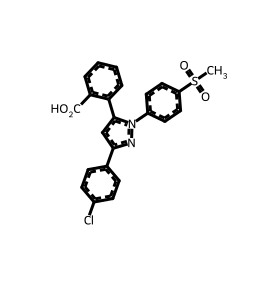 CS(=O)(=O)c1ccc(-n2nc(-c3ccc(Cl)cc3)cc2-c2ccccc2C(=O)O)cc1